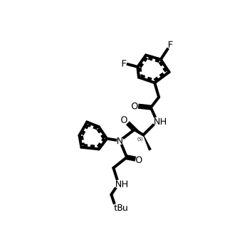 C[C@H](NC(=O)Cc1cc(F)cc(F)c1)C(=O)N(C(=O)CNCC(C)(C)C)c1ccccc1